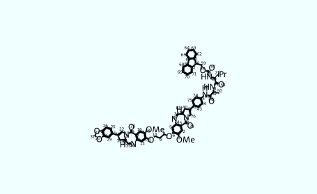 COc1cc2c(cc1OCCCOc1cc3c(cc1OC)C(=O)N1C=C(c4ccc5c(c4)OCO5)C[C@H]1C=N3)N=C[C@@H]1CC(c3ccc(NC(=O)[C@H](C)NC(=O)[C@@H](NC(=O)OCC4c5ccccc5-c5ccccc54)C(C)C)cc3)=CN1C2=O